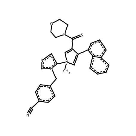 C[N+]1(c2cncn2Cc2ccc(C#N)cc2)C=C(C(=S)N2CCOCC2)C(c2cccc3ccccc23)=C1